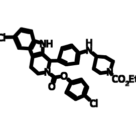 CCOC(=O)N1CCC(Nc2ccc(C3c4[nH]c5ccc(Cl)cc5c4CCN3C(=O)Oc3ccc(Cl)cc3)cc2)CC1